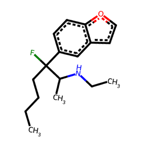 CCCCC(F)(c1ccc2occc2c1)C(C)NCC